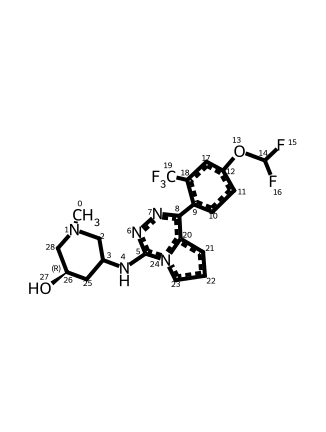 CN1CC(Nc2nnc(-c3ccc(OC(F)F)cc3C(F)(F)F)c3cccn23)C[C@@H](O)C1